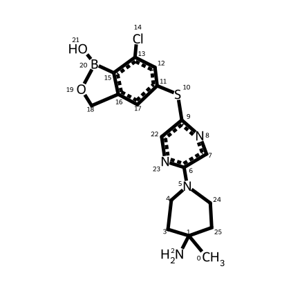 CC1(N)CCN(c2cnc(Sc3cc(Cl)c4c(c3)COB4O)cn2)CC1